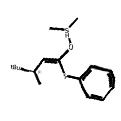 C[C@H](C=C(O[SiH](C)C)Sc1ccccc1)C(C)(C)C